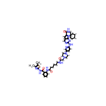 Cc1nc(NC(=O)c2ccccc2NC(=O)CCCCCNC(=O)CN2CCN(c3ccc(Nc4ncc5cc6n(c5n4)C4(CCCCC4)CNC6=O)nc3)CC2)sc1C